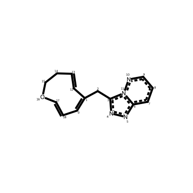 C1=C(Cc2nnc3cccnn23)\C=C\CCO/C=C/1